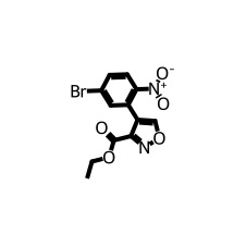 CCOC(=O)c1nocc1-c1cc(Br)ccc1[N+](=O)[O-]